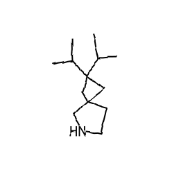 CC(C)C1(C(C)C)CC2(CCNC2)C1